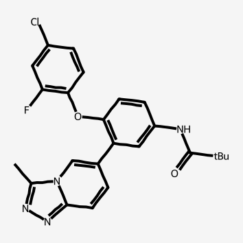 Cc1nnc2ccc(-c3cc(NC(=O)C(C)(C)C)ccc3Oc3ccc(Cl)cc3F)cn12